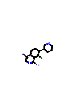 Nc1ncc(I)c2ccc(-c3cccnc3)c(F)c12